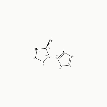 CC[C@@H]1NCO[C@H]1c1nccs1